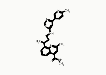 CNC(=O)c1cc(C)nc2c(C(C)CCNc3cc(-c4ccc(C)nc4)ncn3)cccc12